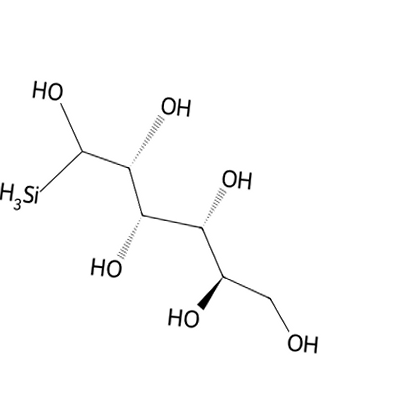 OC[C@@H](O)[C@@H](O)[C@H](O)[C@@H](O)C(O)[SiH3]